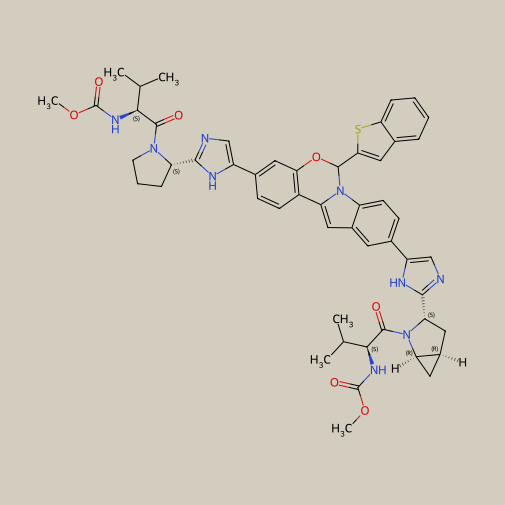 COC(=O)N[C@H](C(=O)N1CCC[C@H]1c1ncc(-c2ccc3c(c2)OC(c2cc4ccccc4s2)n2c-3cc3cc(-c4cnc([C@@H]5C[C@H]6C[C@H]6N5C(=O)[C@@H](NC(=O)OC)C(C)C)[nH]4)ccc32)[nH]1)C(C)C